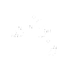 O=C(Nc1ccc2c(c1)N(Cc1c[nH]cn1)CCO2)OCc1nccs1